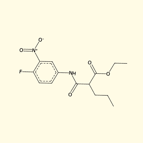 CCCC(C(=O)Nc1ccc(F)c([N+](=O)[O-])c1)C(=O)OCC